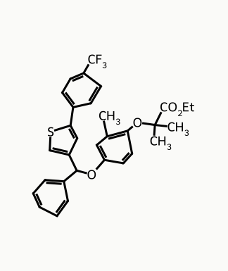 CCOC(=O)C(C)(C)Oc1ccc(OC(c2ccccc2)c2csc(-c3ccc(C(F)(F)F)cc3)c2)cc1C